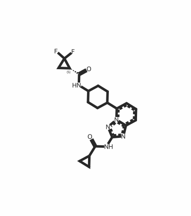 O=C(Nc1nc2cccc(C3CCC(NC(=O)[C@@H]4CC4(F)F)CC3)n2n1)C1CC1